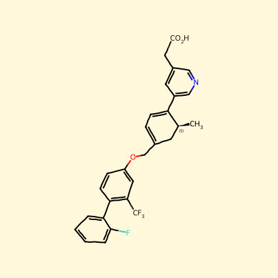 C[C@H]1CC(COc2ccc(-c3ccccc3F)c(C(F)(F)F)c2)=CC=C1c1cncc(CC(=O)O)c1